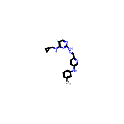 Fc1cnc(N/N=C/c2ccc(Nc3cccc(C(F)(F)F)c3)cn2)nc1NCC1CC1